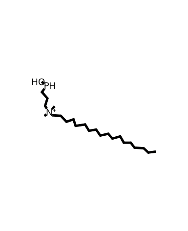 CCCCCCCCCCCCCCCCCC[N+](C)(C)CCCPO